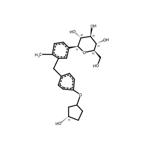 Cc1ccc([C@@H]2O[C@H](CO)[C@@H](O)[C@H](O)[C@H]2O)cc1Cc1ccc(OC2CC[C@H](O)C2)cc1